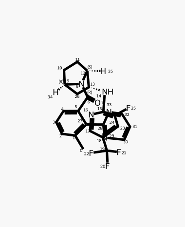 Cc1cccc(C(=O)N2[C@@H]3CC[C@H]2[C@H](Nc2ncc(C(F)(F)F)cc2F)C3)c1-c1ncccn1